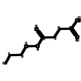 CCCOOC(=O)CCC(=O)O